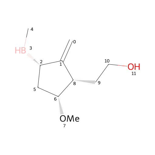 C=C1[C@@H](BC)C[C@@H](OC)[C@H]1CCO